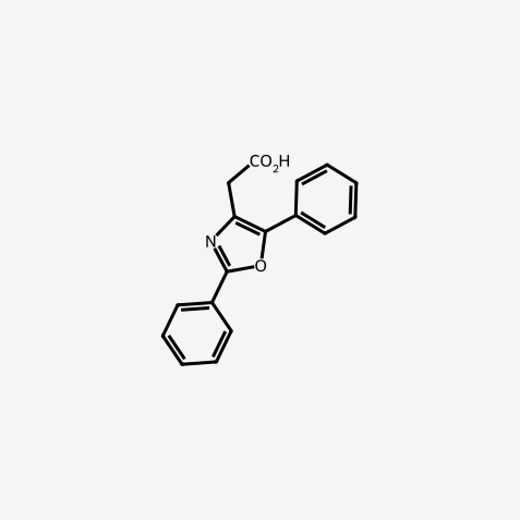 O=C(O)Cc1nc(-c2ccccc2)oc1-c1ccccc1